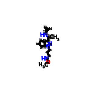 CONCCCn1nc([C@@H](C)NC2CC2)c2c1CCC2